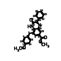 COC(=O)c1cc(Cc2ccc(OC)cc2)c2[nH]c(=O)c(-c3ccccc3)nc2c1